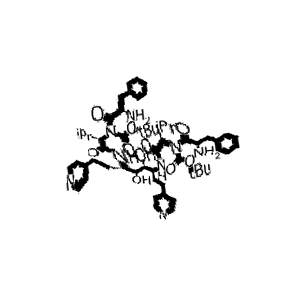 CC(C)[C@@H](C(=O)N[C@@H](CCc1ccncc1)[C@@H](O)[C@H](O)[C@H](CCc1ccncc1)NC(=O)[C@H](C(C)C)N(C(=O)OC(C)(C)C)C(=O)[C@@H](N)Cc1ccccc1)N(C(=O)OC(C)(C)C)C(=O)[C@@H](N)Cc1ccccc1